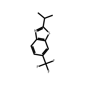 CC(C)c1nc2ccc(C(F)(F)F)cc2s1